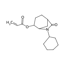 C=CC(=O)OC1CCC2CC1N(C1CCCCC1)C2=O